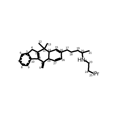 C=C1C2=C(Cc3ccccc32)C(C)(C)C2C=C(CCCC(C)NCCC(C)C)C=CC12